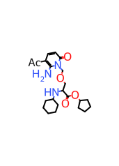 CC(=O)c1ccc(=O)n(COCC(NC2CCCCC2)C(=O)OC2CCCC2)c1N